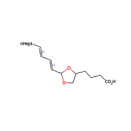 CCCCCCC/C=C/C=C/C1OCC(CCCC(=O)O)O1